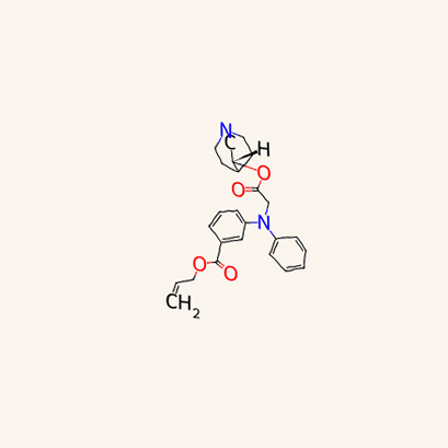 C=CCOC(=O)c1cccc(N(CC(=O)O[C@H]2CN3CCC2CC3)c2ccccc2)c1